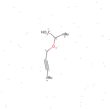 CCCCC#CCOC(CCCC)C(=O)O